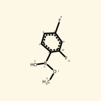 COB(O)c1ccc(F)cc1F